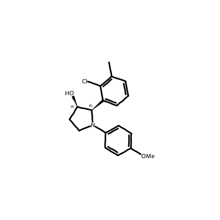 COc1ccc(N2CC[C@@H](O)[C@H]2c2cccc(C)c2Cl)cc1